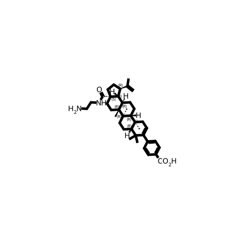 C=C(C)[C@@H]1CC[C@]2(C(=O)NCCN)CC[C@]3(C)[C@H](CC[C@@H]4[C@@]5(C)CC=C(c6ccc(C(=O)O)cc6)C(C)(C)[C@@H]5CC[C@]43C)[C@@H]12